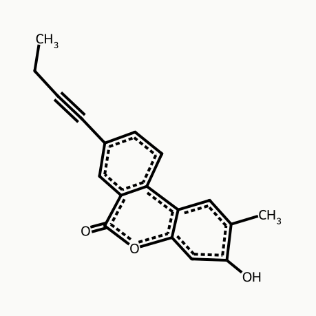 CCC#Cc1ccc2c(c1)c(=O)oc1cc(O)c(C)cc12